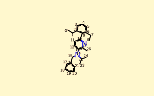 CCc1cccc(CC)c1-c1ccc(N(Cc2ccccc2)C(C)C)c(C)n1